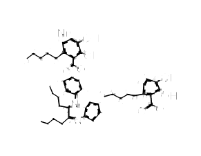 CCCCC(=Nc1ccccc1)C(CCCC)=Nc1ccccc1.CCCCCc1ccc(O)c(O)c1C(=O)[O-].CCCCCc1ccc(O)c(O)c1C(=O)[O-].[Ni+2]